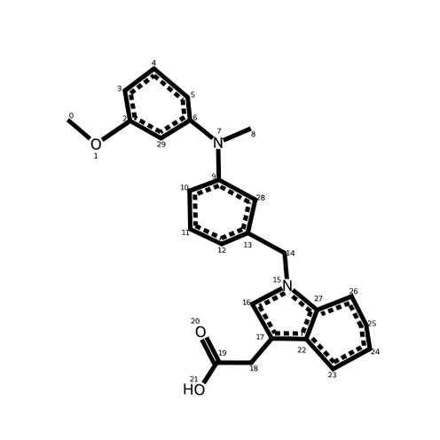 COc1cccc(N(C)c2cccc(Cn3cc(CC(=O)O)c4ccccc43)c2)c1